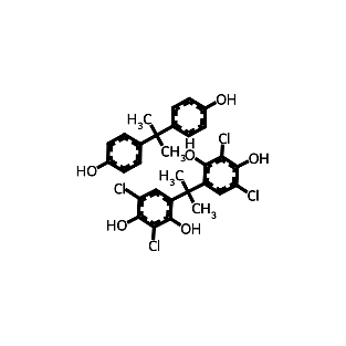 CC(C)(c1cc(Cl)c(O)c(Cl)c1O)c1cc(Cl)c(O)c(Cl)c1O.CC(C)(c1ccc(O)cc1)c1ccc(O)cc1